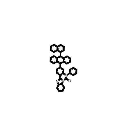 O=c1n(-c2ccccc2)c2cc(-c3c4ccccc4c(-c4cccc5ccccc45)c4ccccc34)ccc2c2nc3ccccc3n12